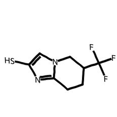 FC(F)(F)C1CCc2nc(S)cn2C1